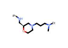 CCN(C)CCCN1CCO[C@@H](CNC(C)C)C1